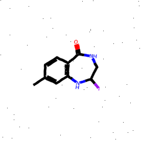 Cc1ccc2c(c1)NC(I)CNC2=O